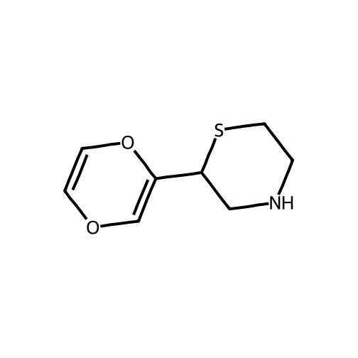 C1=COC(C2CNCCS2)=CO1